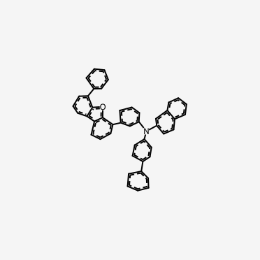 c1ccc(-c2ccc(N(c3cccc(-c4cccc5c4oc4c(-c6ccccc6)cccc45)c3)c3ccc4ccccc4c3)cc2)cc1